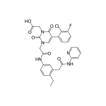 CCc1ccc(NC(=O)Cn2cc(-c3cccc(F)c3Cl)c(=O)n(CC(=O)O)c2=O)cc1CC(=O)Nc1ccccn1